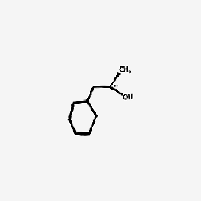 C[C@@H](O)CC1CCCCC1